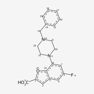 O=C(O)c1cc2cc(F)cc(N3CCN(Cc4ccccc4)CC3)c2o1